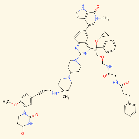 COc1ccc(C#CCNC2(C)CCN(C3CCN(c4nc([C@@](COCNC(=O)CNC(=O)CCc5ccccc5)(OC5CC5)c5ccccc5)c5cc(-c6cn(C)c(=O)c7[nH]ccc67)ccc5n4)CC3)CC2)cc1N1CCC(=O)NC1=O